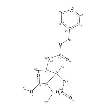 CCC(C(=O)OC)C(C)(O[PH2]=O)C(C)NC(=O)OCc1ccccc1